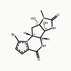 CN1C(=O)N[C@@]2(O)[C@@H]3NC(=O)c4ccc(Br)n4[C@@H]3C[C@@]12O